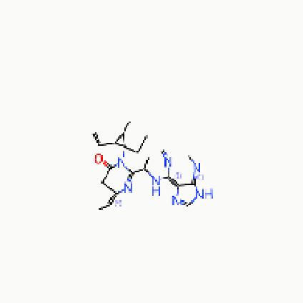 C=CC1C(C)C1(CC)N1C(=O)C/C(=C\C)N=C1C(C)N/C(N=C)=C1\N=CN\C1=N\C